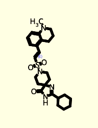 CN1CCCc2c(/C=C/S(=O)(=O)N3CCC4(CC3)N=C(C3CCCCC3)NC4=O)cccc21